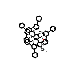 Cc1ccc(-c2c(-n3c4ccccc4c4cc(-c5ccccc5)ccc43)c(C#N)c(-n3c4ccccc4c4cc(-c5ccccc5)ccc43)c(-n3c4ccccc4c4cc(-c5ccccc5)ccc43)c2-n2c3ccccc3c3cc(-c4ccccc4)ccc32)c(C)n1